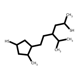 CC(S)CC(CCC1CC(S)CC1C)C(C)C